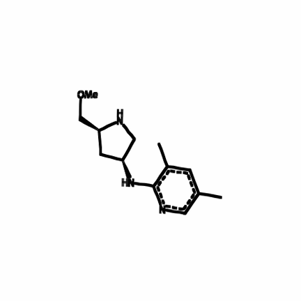 COC[C@@H]1C[C@H](Nc2ncc(C)cc2C)CN1